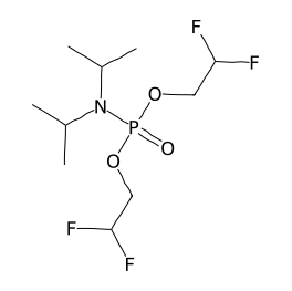 CC(C)N(C(C)C)P(=O)(OCC(F)F)OCC(F)F